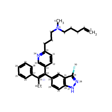 C=CCCCN(C)CCCc1ccc(/C(=C(/CC)c2ccccc2)c2ccc3[nH]nc(F)c3c2)cn1